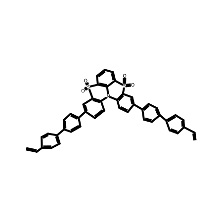 C=Cc1ccc(-c2ccc(-c3ccc4c(c3)S(=O)(=O)c3cccc5c3N4c3ccc(-c4ccc(-c6ccc(C=C)cc6)cc4)cc3S5(=O)=O)cc2)cc1